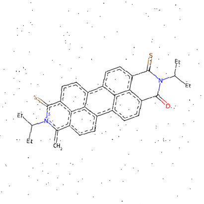 C=c1c2ccc3c4ccc5c6c(ccc(c7ccc(c(=S)n1C(CC)CC)c2c37)c64)C(=S)N(C(CC)CC)C5=O